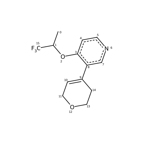 CC(Oc1ccncc1C1=CCOCC1)C(F)(F)F